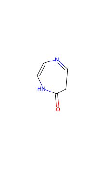 O=C1CC=NC=CN1